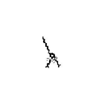 CCCCCCCCCCc1ccc(OC(=O)CCC(C)C)c(OC(=O)CCC(C)C)c1